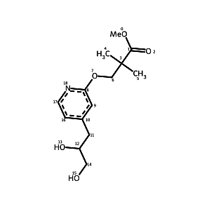 COC(=O)C(C)(C)COc1cc(CC(O)CO)ccn1